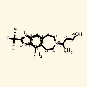 Cc1c2c(cc3nc(C(F)(F)F)oc13)CCN(C(C)CCO)CC2